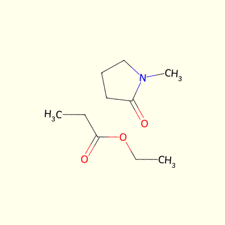 CCOC(=O)CC.CN1CCCC1=O